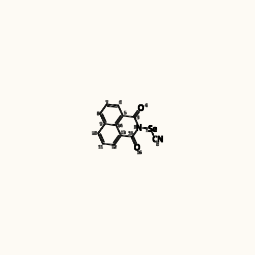 N#C[Se]N1C(=O)c2cccc3cccc(c23)C1=O